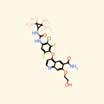 BC1(B)C(NC(=O)Nc2cc(F)c(Oc3ccnc4cc(OCCO)c(C(N)=O)cc34)c(F)c2Cl)C1(B)B